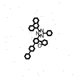 c1ccc(-c2ccc(-c3ccc(-c4nc(-c5ccccc5)nc(-c5cc6ccccc6c6ccccc56)n4)c4c3oc3ccccc34)cc2)cc1